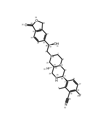 Cc1c([C@@H]2CN3CCN(C[C@H](O)c4ccc5c(c4)COC5=O)C[C@@H]3CN2)ccc(F)c1C#N